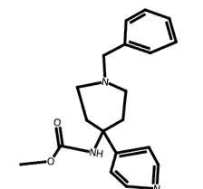 COC(=O)NC1(c2ccncc2)CCN(Cc2ccccc2)CC1